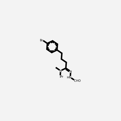 CC(C)N(C)/C(CCCc1ccc(Br)cc1)=N\NC=O